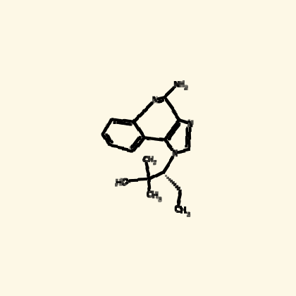 CC[C@@H](n1cnc2c(N)nc3ccccc3c21)C(C)(C)O